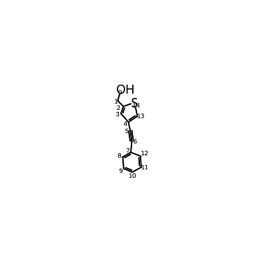 OCc1cc(C#Cc2ccccc2)cs1